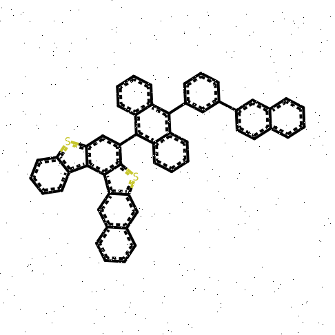 c1cc(-c2ccc3ccccc3c2)cc(-c2c3ccccc3c(-c3cc4sc5ccccc5c4c4c3sc3cc5ccccc5cc34)c3ccccc23)c1